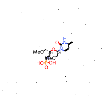 C=C1C=CN([C@@H](COC)O[C@H](/C=C/P(=O)(O)O)COC)C(=O)N1